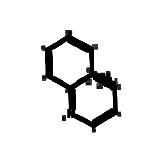 [C]1=CN=C2C=CN=C3C=CC=CC23N1